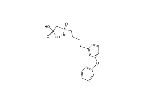 O=P(O)(O)CP(=O)(O)CCCCc1cccc(Oc2ccccc2)c1